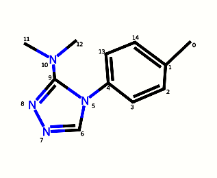 Cc1ccc(-n2cnnc2N(C)C)cc1